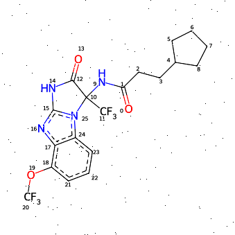 O=C(CCC1CCCC1)NC1(C(F)(F)F)C(=O)Nc2nc3c(OC(F)(F)F)cccc3n21